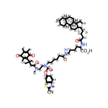 CC1=C(C)C(=O)C(C(C)(C)CC(=O)N(C)CCN(CCCCCC(=O)NCCCCC(NC(=O)CC[C@@H](C)[C@H]2CC[C@H]3[C@@H]4CC[C@@H]5C[C@H](C)CC[C@]5(C)[C@H]4CC[C@]23C)C(=O)O)C(=O)Oc2ccc3nc(C#N)sc3c2)=C(C)C1=O